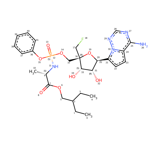 CCC(CC)COC(=O)[C@H](C)N[P@](=O)(OC[C@@]1(CF)O[C@@H](c2ccc3c(N)ncnn23)[C@H](O)[C@@H]1O)Oc1ccccc1